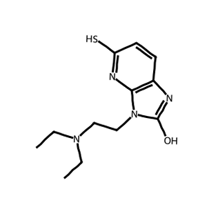 CCN(CC)CCn1c(O)nc2ccc(S)nc21